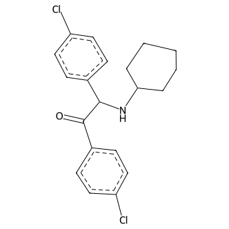 O=C(c1ccc(Cl)cc1)C(NC1CCCCC1)c1ccc(Cl)cc1